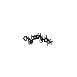 Cn1ncc(-c2cc3cc(NC(=O)c4ccc(OC(F)F)cc4)ncc3cn2)c1CN1CCCCC1